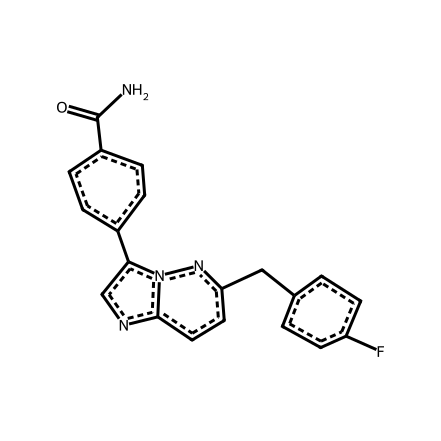 NC(=O)c1ccc(-c2cnc3ccc(Cc4ccc(F)cc4)nn23)cc1